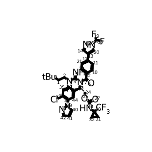 CC(C)(C)CCNC(=N)N(C(=O)c1ccc(-c2cnn(C(F)F)c2)cc1)[C@H](COC(=O)NC1(C(F)(F)F)CC1)c1ccc(Cl)c(-n2cccn2)c1